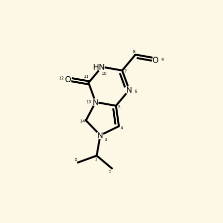 CC(C)N1C=C2N=C(C=O)NC(=O)N2C1